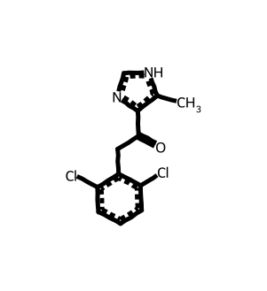 Cc1[nH]cnc1C(=O)Cc1c(Cl)cccc1Cl